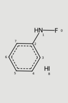 FNc1ccccc1.I